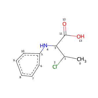 CC(Cl)C(Nc1ccccc1)C(=O)O